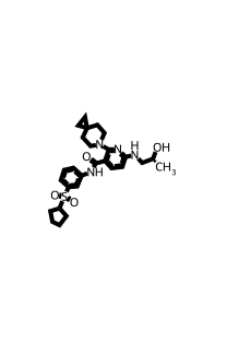 C[C@H](O)CNc1ccc(C(=O)Nc2cccc(S(=O)(=O)C3CCCC3)c2)c(N2CCC3(CC2)CC3)n1